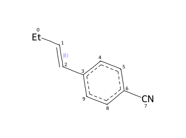 CC/C=C/c1ccc(C#N)cc1